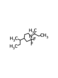 CCC(C)C1CCN(C(C)CC)C(F)(F)C1